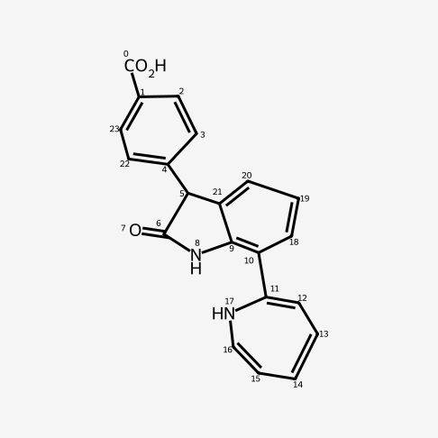 O=C(O)c1ccc(C2C(=O)Nc3c(C4=CC=CC=CN4)cccc32)cc1